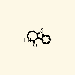 Cn1c2c(c3ccccc31)C(=O)NCCC2